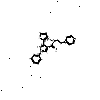 CN(CCc1ccccc1)C(=O)c1cn(-c2ccccc2)nc1-c1cccs1